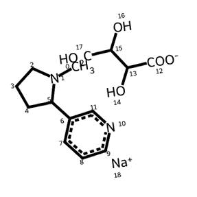 CN1CCCC1c1cccnc1.O=C([O-])C(O)C(O)C(=O)O.[Na+]